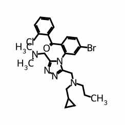 CCCN(Cc1nnc(CN(C)C)n1-c1cc(Br)ccc1C(=O)c1ccccc1Cl)CC1CC1